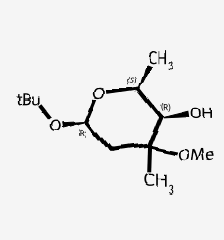 COC1(C)C[C@@H](OC(C)(C)C)O[C@@H](C)[C@H]1O